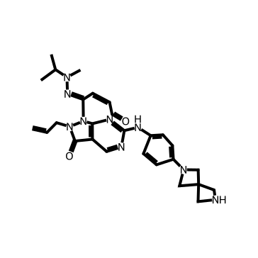 C=CCn1c(=O)c2cnc(Nc3ccc(N4CC5(CNC5)C4)cc3)nc2n1C(/C=C\C=O)=N/N(C)C(C)C